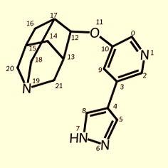 c1ncc(-c2cn[nH]c2)cc1OC1C2CC3CC1CN(C3)C2